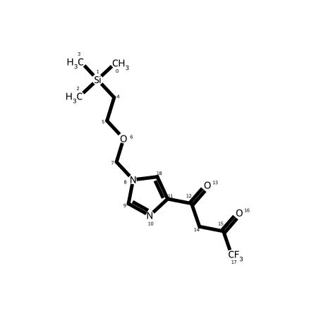 C[Si](C)(C)CCOCn1cnc(C(=O)CC(=O)C(F)(F)F)c1